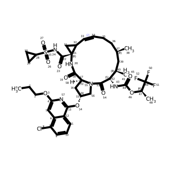 CCCOc1cc2c(Cl)cccc2c(O[C@@H]2C[C@H]3C(=O)N[C@]4(C(=O)NS(=O)(=O)C5CC5)CC4/C=C\CC[C@@H](C)C[C@@H](C)[C@H](NC(=O)O[C@H](C)C(F)(F)F)C(=O)N3C2)n1